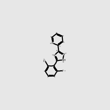 Fc1cccc(Cl)c1-c1nc(-c2ccccn2)n[nH]1